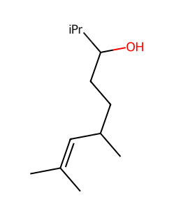 CC(C)=CC(C)CCC(O)C(C)C